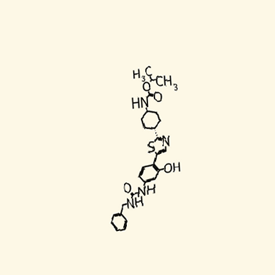 CC(C)OC(=O)N[C@H]1CC[C@H](c2ncc(-c3ccc(NC(=O)NCc4ccccc4)cc3O)s2)CC1